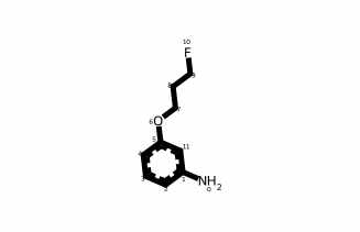 Nc1cccc(OCCCF)c1